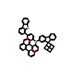 c1ccc(-c2cccc3cccc(-c4ccccc4N(c4ccc(-c5cccc6c5sc5ccccc56)cc4)c4ccc5c(c4)C4(c6ccccc6-5)C5CC6CC7CC4C675)c23)cc1